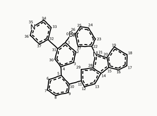 Brc1ccc(-c2ccccc2-c2ccc3c4ccccc4n(-c4ccccc4)c3c2)cc1-c1ccncc1